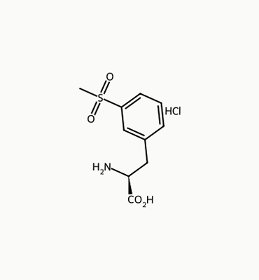 CS(=O)(=O)c1cccc(C[C@H](N)C(=O)O)c1.Cl